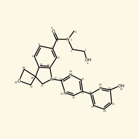 CN(CCO)C(=O)c1ccc2c(c1)N(c1ncc(-c3cccc(O)n3)cn1)CC21COC1